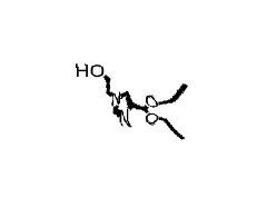 CCOC(OCC)c1cn(CCO)cn1